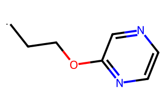 [CH2]CCOc1cnccn1